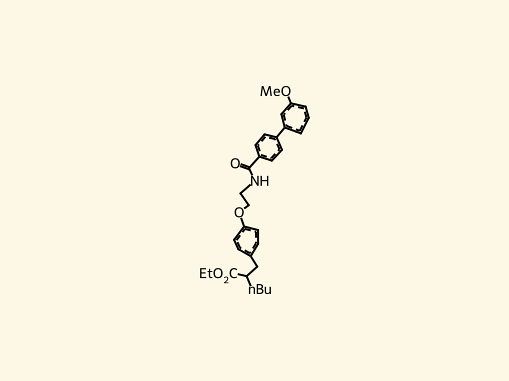 CCCCC(Cc1ccc(OCCNC(=O)c2ccc(-c3cccc(OC)c3)cc2)cc1)C(=O)OCC